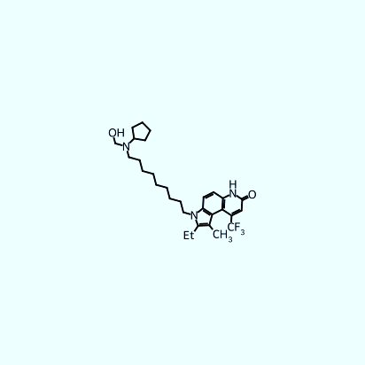 CCc1c(C)c2c3c(C(F)(F)F)cc(=O)[nH]c3ccc2n1CCCCCCCCCN(CO)C1CCCC1